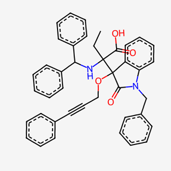 CCC(NC(c1ccccc1)c1ccccc1)(C(=O)O)C1(OCC#Cc2ccccc2)C(=O)N(Cc2ccccc2)c2ccccc21